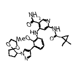 COc1c(Nc2cc(NC(=O)[C@H]3CC3(C)C)ncc2C(N)=O)cccc1-c1cnn([C@H]2CCCC23OCCO3)c1